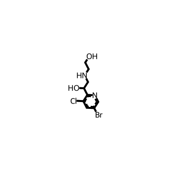 OCCNCC(O)c1ncc(Br)cc1Cl